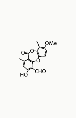 COc1ccc2c(c1C)OC(=O)c1c(C)cc(O)c(C=O)c1O2